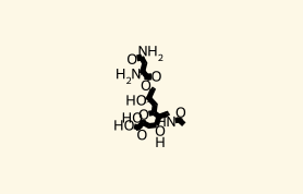 CC(=O)NCC1C(O)CC(O)(C(=O)O)OC1C[C@H](O)COC(=O)[C@H](N)CC(N)=O